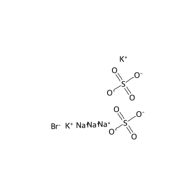 O=S(=O)([O-])[O-].O=S(=O)([O-])[O-].[Br-].[K+].[K+].[Na+].[Na+].[Na+]